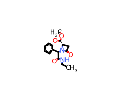 CCNC(=O)C(c1ccccc1)N1C(=O)C[C@H]1C(=O)OC